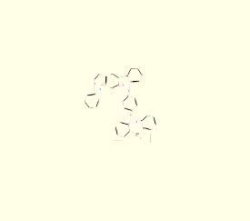 CC1(C)c2ccccc2N(c2ccc(-n3c4ccccc4c4cc5ccn(-c6ccccc6)c5cc43)cc2)c2ccccc21